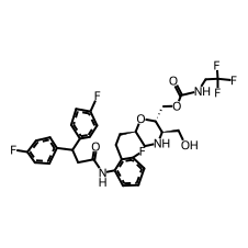 O=C(CC(c1ccc(F)cc1)c1ccc(F)cc1)Nc1cccc(F)c1CC[C@@H]1CN[C@H](CO)[C@@H](COC(=O)NCC(F)(F)F)O1